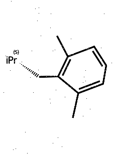 [CH2][C@@H](C)Cc1c(C)cccc1C